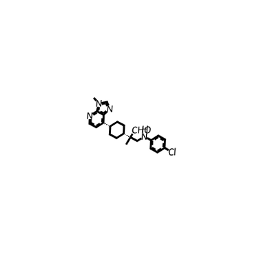 Cn1cnc2c1nccc2[C@H]1CC[C@@H](C(C)(C=O)CNc2ccc(Cl)cc2)CC1